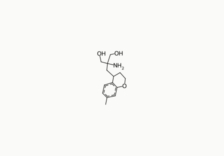 Cc1ccc2c(c1)OCCC2CC(N)(CO)CO